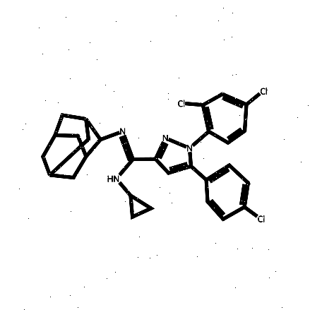 Clc1ccc(-c2cc(C(=NC3C4CC5CC(C4)CC3C5)NC3CC3)nn2-c2ccc(Cl)cc2Cl)cc1